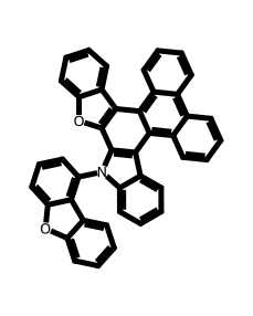 c1ccc2c(c1)oc1cccc(-n3c4ccccc4c4c5c6ccccc6c6ccccc6c5c5c6ccccc6oc5c43)c12